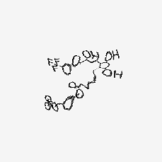 O=C(CCC/C=C\C[C@@H]1[C@@H](/C=C/[C@@H](O)COc2cccc(C(F)(F)F)c2)[C@H](O)C[C@@H]1O)Oc1cccc(CO[N+](=O)[O-])c1